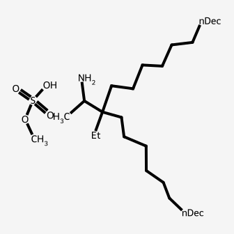 CCCCCCCCCCCCCCCCC(CC)(CCCCCCCCCCCCCCCC)C(C)N.COS(=O)(=O)O